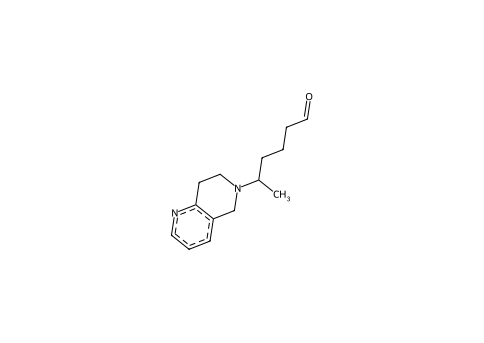 CC(CCCC=O)N1CCc2ncccc2C1